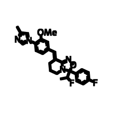 COc1cc(/C=C2\CCCN3C2=NOC3(c2ccc(F)cc2)C(C)F)ccc1-n1cnc(C)c1